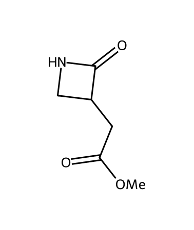 COC(=O)CC1CNC1=O